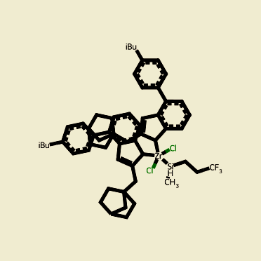 CCC(C)c1ccc(-c2cccc3c2C=C(CC24CCC(CC2)C4)[CH]3[Zr]([Cl])([Cl])([CH]2C(CC34CCC(CC3)C4)=Cc3c(-c4ccc(C(C)CC)cc4)cccc32)[SiH](C)CCC(F)(F)F)cc1